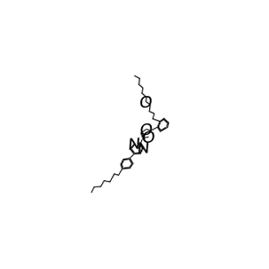 CCCCCCCc1ccc(-c2cnc(C3=COC(c4ccccc4CCCCOCCCCCC)O3)nc2)cc1